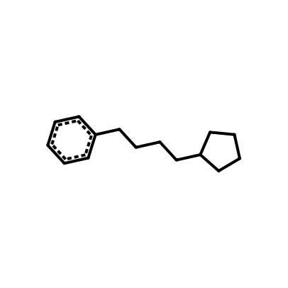 c1ccc(CCCCC2CCCC2)cc1